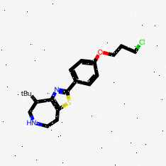 CC(C)(C)C1CNCCc2sc(-c3ccc(OCCCCl)cc3)nc21